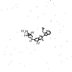 COc1cc(C(=O)N2C[C@@H]3[C@@H](N)[C@@H]3C2)cc2nc(-c3cc4cccnc4n3CC3CC3)n(C)c12